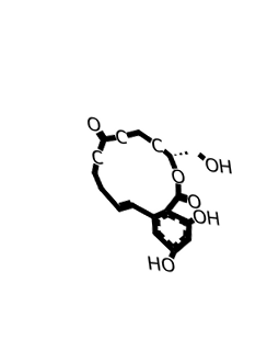 CO.C[C@H]1CCCC(=O)CCC/C=C/c2cc(O)cc(O)c2C(=O)O1